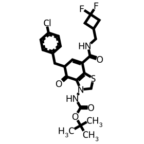 CC(C)(C)OC(=O)NN1CSC2=C1C(=O)C(Cc1ccc(Cl)cc1)C=C2C(=O)NCC1CC(F)(F)C1